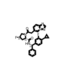 O=C(N[C@@H](c1ccccc1)c1ccc(C2CC2)c(F)c1)[C@@H]1C[C@@H](F)CN1C(=O)Cc1ccc2ncnn2c1